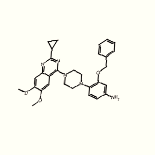 COc1cc2nc(C3CC3)nc(N3CCN(c4ccc(N)cc4OCc4ccccc4)CC3)c2cc1OC